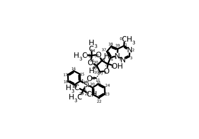 Cc1ncnn2c(C3(O)O[C@H](CO[Si](c4ccccc4)(c4ccccc4)C(C)(C)C)[C@H]4OC(C)(C)O[C@H]43)ccc12